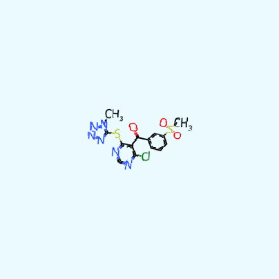 Cn1nnnc1Sc1ncnc(Cl)c1C(=O)c1cccc(S(C)(=O)=O)c1